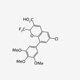 COc1cc(-c2cc(Cl)cc3c2OC(C(F)(F)F)C(C(=O)O)=C3)cc(OC)c1OC